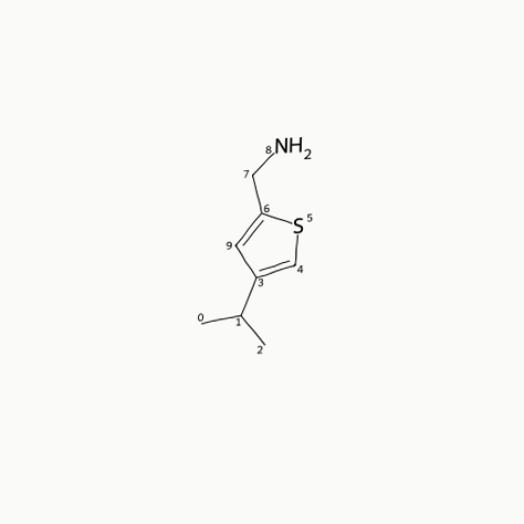 CC(C)c1csc(CN)c1